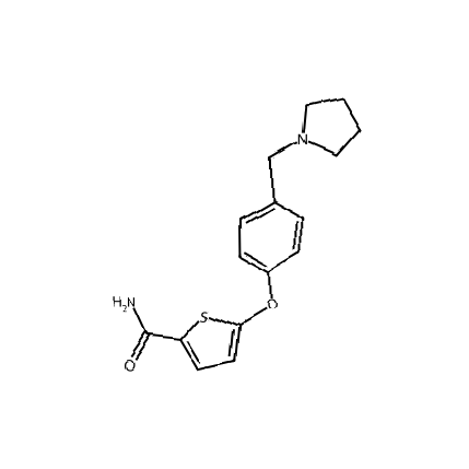 NC(=O)c1ccc(Oc2ccc(CN3CCCC3)cc2)s1